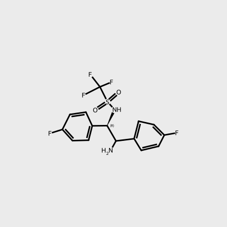 NC(c1ccc(F)cc1)[C@H](NS(=O)(=O)C(F)(F)F)c1ccc(F)cc1